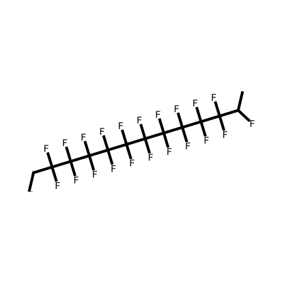 [CH2]CC(F)(F)C(F)(F)C(F)(F)C(F)(F)C(F)(F)C(F)(F)C(F)(F)C(F)(F)C(F)(F)C(F)(F)C(C)F